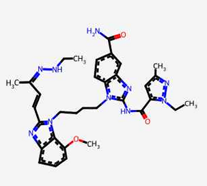 CCN/N=C(C)\C=C\c1nc2cccc(OC)c2n1CCCCn1c(NC(=O)c2cc(C)nn2CC)nc2cc(C(N)=O)ccc21